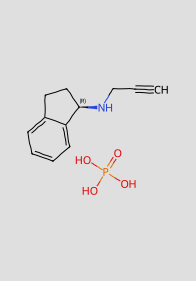 C#CCN[C@@H]1CCc2ccccc21.O=P(O)(O)O